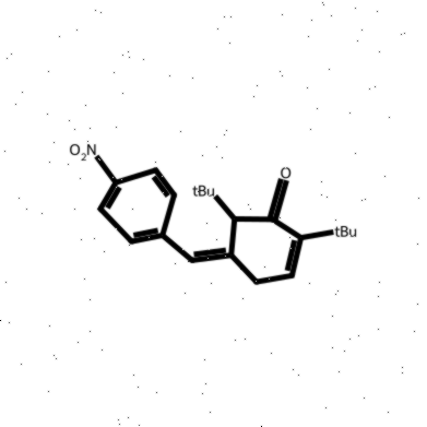 CC(C)(C)C1=CCC(=Cc2ccc([N+](=O)[O-])cc2)C(C(C)(C)C)C1=O